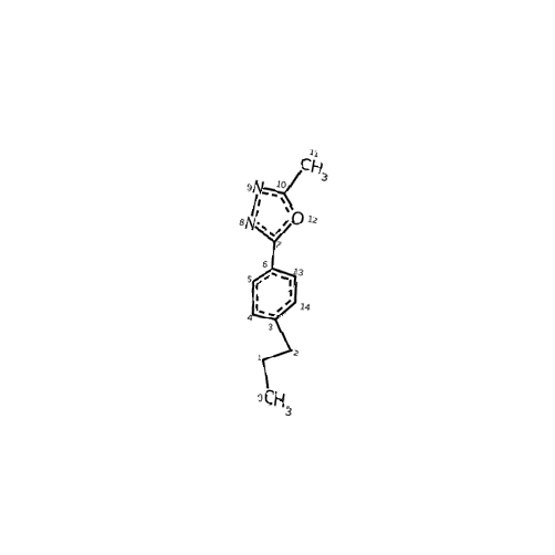 CCCc1ccc(-c2nnc(C)o2)cc1